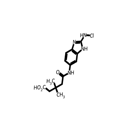 CC(C)(CC(=O)O)CC(=O)Nc1ccc2nc(NCl)[nH]c2c1